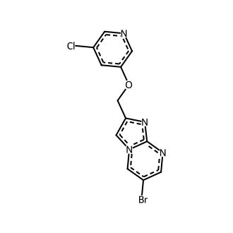 Clc1cncc(OCc2cn3cc(Br)cnc3n2)c1